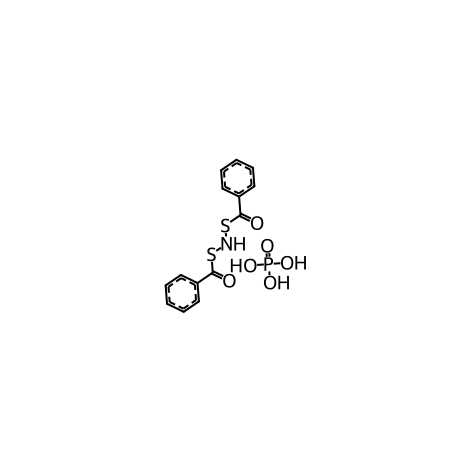 O=C(SNSC(=O)c1ccccc1)c1ccccc1.O=P(O)(O)O